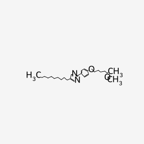 CCCCCCCCCCc1cnc(-c2ccc(OCCCCC(C)OC)cc2)nc1